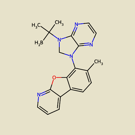 BC(C)(C)N1CN(c2c(C)ccc3c2oc2ncccc23)c2nccnc21